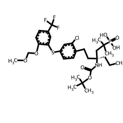 CCC[C@](CCc1ccc(Sc2cc(C(F)(F)F)ccc2OCOC)cc1Cl)(CC(C)(C)P(=O)(O)O)NC(=O)OC(C)(C)C